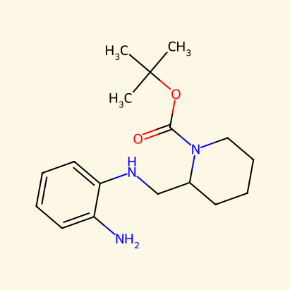 CC(C)(C)OC(=O)N1CCCCC1CNc1ccccc1N